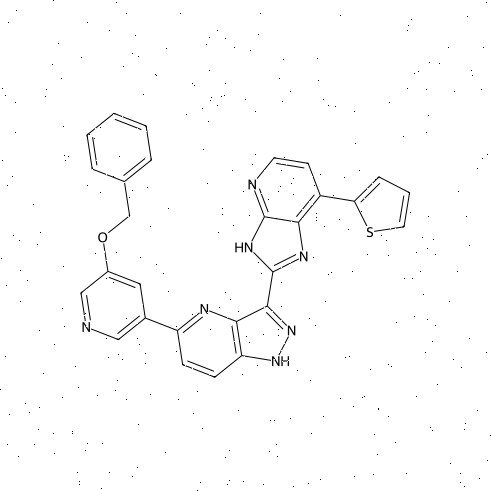 c1ccc(COc2cncc(-c3ccc4[nH]nc(-c5nc6c(-c7cccs7)ccnc6[nH]5)c4n3)c2)cc1